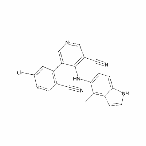 Cc1c(Nc2c(C#N)cncc2-c2cc(Cl)ncc2C#N)ccc2[nH]ccc12